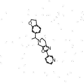 CC(c1ccc2c(c1)OCC2)N1CCc2nc(-c3cccnc3)oc2C1